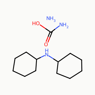 C1CCC(NC2CCCCC2)CC1.N.NC(=O)O